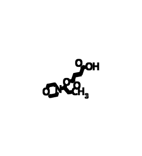 CCC(OC(=O)C=CC(=O)O)N1CCOCC1